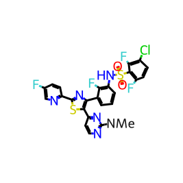 CNc1nccc(-c2sc(-c3ccc(F)cn3)nc2-c2cccc(NS(=O)(=O)c3c(F)ccc(Cl)c3F)c2F)n1